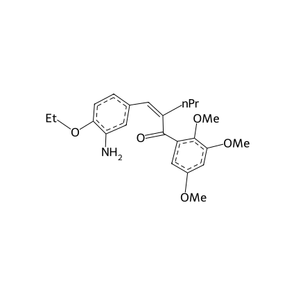 CCCC(=Cc1ccc(OCC)c(N)c1)C(=O)c1cc(OC)cc(OC)c1OC